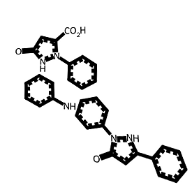 Nc1ccccc1.O=C(O)c1cc(=O)[nH]n1-c1ccccc1.O=c1cc(-c2ccccc2)[nH]n1-c1ccccc1